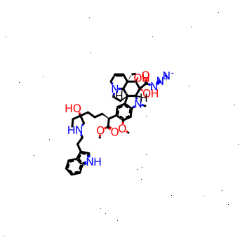 CCC(O)(CCC[C@H](C(=O)OC)c1cc2c(cc1OC)N(C)[C@H]1[C@@](O)(C(=O)N=[N+]=[N-])[C@H](O)[C@]3(CC)C=CCN4CC[C@]21[C@@H]43)CNCCc1c[nH]c2ccccc12